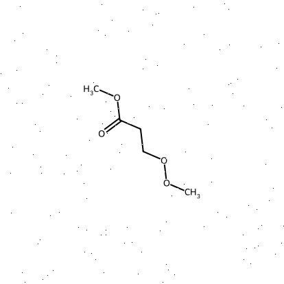 COOCCC(=O)OC